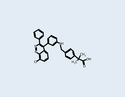 CC(C)(C(=O)O)c1ccc(CNc2cccc(-c3c(-c4ccccc4)nnc4c(Cl)cccc34)c2)cc1